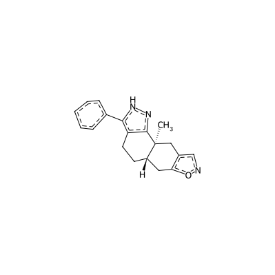 C[C@]12Cc3cnoc3C[C@@H]1CCc1c2n[nH]c1-c1ccccc1